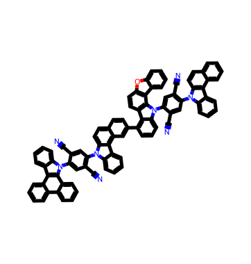 N#Cc1cc(-n2c3ccccc3c3c4ccccc4c4ccccc4c32)c(C#N)cc1-n1c2ccccc2c2c3cc(-c4cccc5c4c4ccc6oc7ccccc7c6c4n5-c4cc(C#N)c(-n5c6ccccc6c6c7ccccc7ccc65)cc4C#N)ccc3ccc21